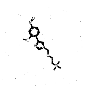 COc1cc(N=O)ccc1-c1cn(COCC[Si](C)(C)C)cn1